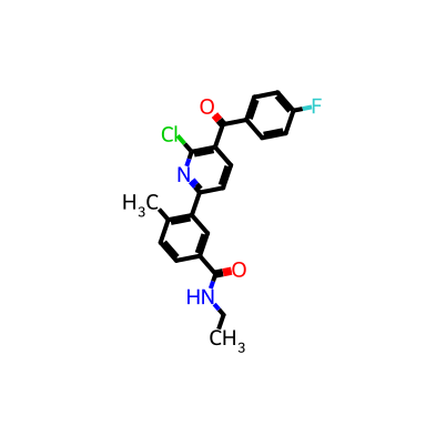 CCNC(=O)c1ccc(C)c(-c2ccc(C(=O)c3ccc(F)cc3)c(Cl)n2)c1